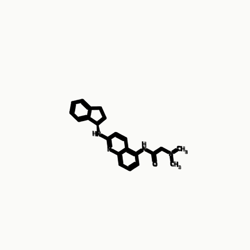 CN(C)CC(=O)Nc1cccc2nc(N[C@@H]3CCc4ccccc43)ccc12